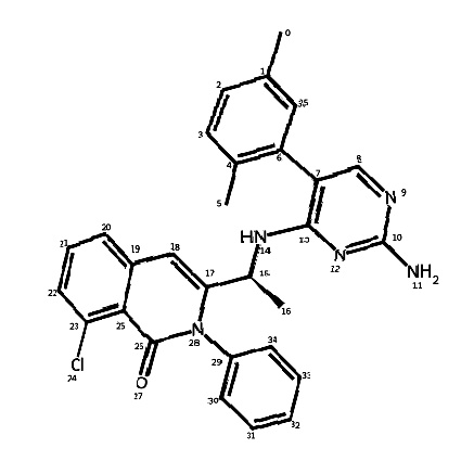 Cc1ccc(C)c(-c2cnc(N)nc2N[C@@H](C)c2cc3cccc(Cl)c3c(=O)n2-c2ccccc2)c1